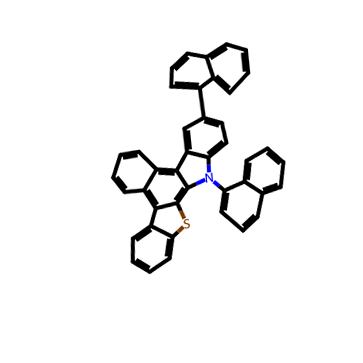 c1ccc2c(-c3ccc4c(c3)c3c5ccccc5c5c6ccccc6sc5c3n4-c3cccc4ccccc34)cccc2c1